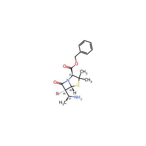 C[C@H](N)[C@@]1(Br)C(=O)N2[C@@H](C(=O)OCc3ccccc3)C(C)(C)S[C@@H]21